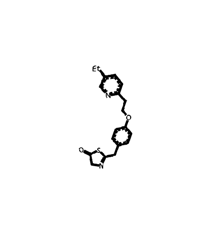 CCc1ccc(CCOc2ccc(CC3=NCC(=O)S3)cc2)nc1